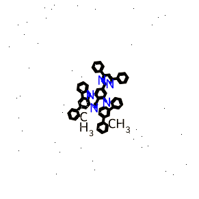 Cc1ccccc1-c1ccc2c(c1)c1ccccc1n2-c1cc(-c2nc(-c3ccccc3)cc(-c3ccccc3)n2)cc(-n2c3ccccc3c3cc(-c4ccccc4C)ccc32)c1C#N